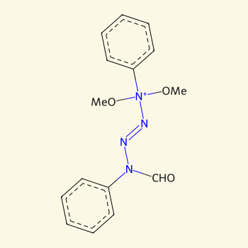 CO[N+](N=NN(C=O)c1ccccc1)(OC)c1ccccc1